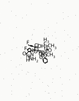 CC(C)OC(=O)C(C)NP(=O)(OC[C@H]1O[C@@H](n2cc(F)c3c(=O)[nH]c(N)nc32)[C@@](Cl)(C#CCF)C1O)Oc1ccccc1